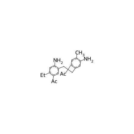 CCc1cc(N)c(CC2(C(C)=O)Cc3cc(N)c(C)cc32)cc1C(C)=O